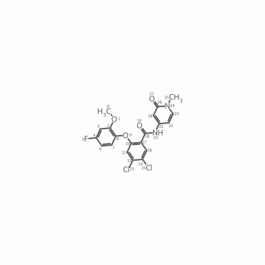 COc1cc(F)ccc1Oc1cc(Cl)c(Cl)cc1C(=O)Nc1ccn(C)c(=O)c1